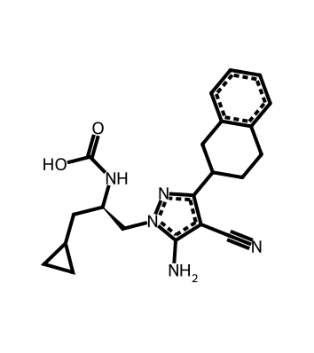 N#Cc1c(C2CCc3ccccc3C2)nn(C[C@@H](CC2CC2)NC(=O)O)c1N